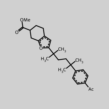 COC(=O)C1CCc2cc(C(C)(C)CCC(C)(C)c3ccc(C(C)=O)cc3)oc2C1